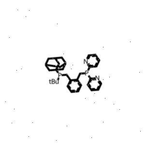 CC(C)(C)P(Cc1ccccc1CP(c1ccccn1)c1ccccn1)C12CC3CC(CC(C3)C1)C2